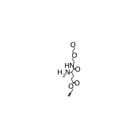 C#CCOC(=O)CCC(N)C(=O)NCCOCCOC